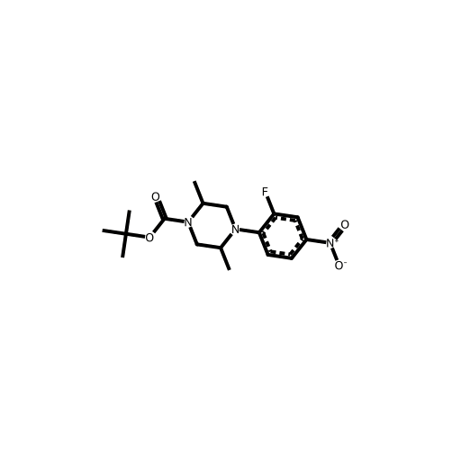 CC1CN(c2ccc([N+](=O)[O-])cc2F)C(C)CN1C(=O)OC(C)(C)C